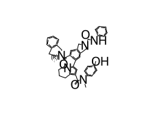 C[C@@H]1Cc2ccccc2CN1C(=O)c1cc2c(cc1-c1cc(C(=O)N(C)c3ccc(O)cc3)c3n1CCCC3)CN(C(=O)Nc1ccccc1)C2